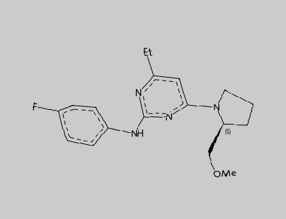 CCc1cc(N2CCC[C@H]2COC)nc(Nc2ccc(F)cc2)n1